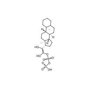 C[C@]12CC[C@H]3[C@@H](CCC4CCCC[C@@]43C)[C@@H]1CC[C@@H]2C(O)=C(O)OS(=O)(=O)OS(=O)(=O)O